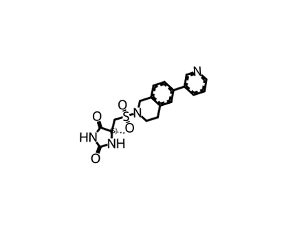 C[C@]1(CS(=O)(=O)N2CCc3cc(-c4cccnc4)ccc3C2)NC(=O)NC1=O